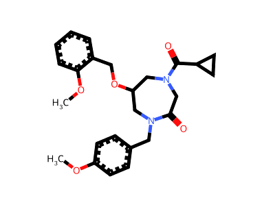 COc1ccc(CN2CC(OCc3ccccc3OC)CN(C(=O)C3CC3)CC2=O)cc1